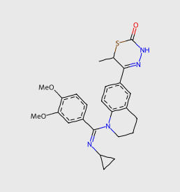 COc1ccc(/C(=N/C2CC2)N2CCCc3cc(C4=NNC(=O)SC4C)ccc32)cc1OC